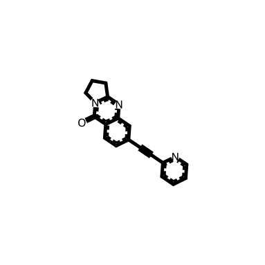 O=c1c2ccc(C#Cc3ccccn3)cc2nc2n1CCC2